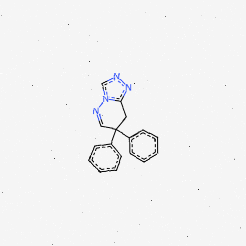 C1=Nn2cnnc2CC1(c1ccccc1)c1ccccc1